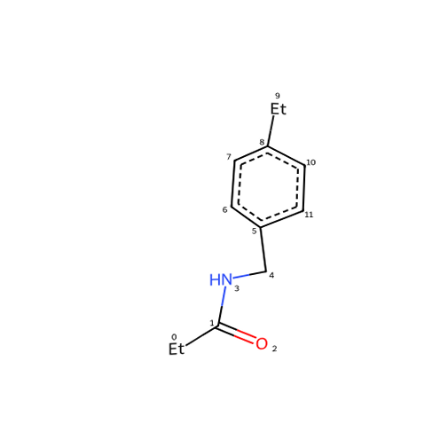 CCC(=O)NCc1ccc(CC)cc1